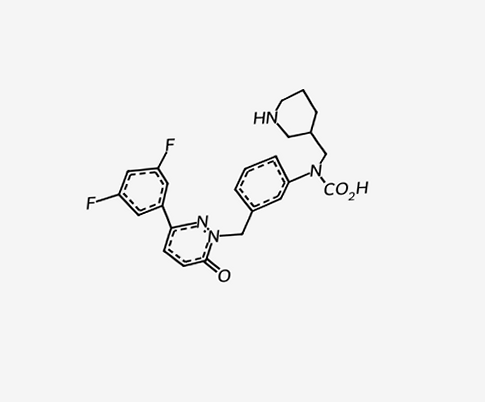 O=C(O)N(CC1CCCNC1)c1cccc(Cn2nc(-c3cc(F)cc(F)c3)ccc2=O)c1